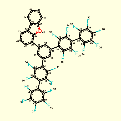 Fc1c(F)c(F)c(-c2c(F)c(F)c(-c3cc(-c4c(F)c(F)c(-c5c(F)c(F)c(F)c(F)c5F)c(F)c4F)cc(-c4cccc5c4oc4ccccc45)c3)c(F)c2F)c(F)c1F